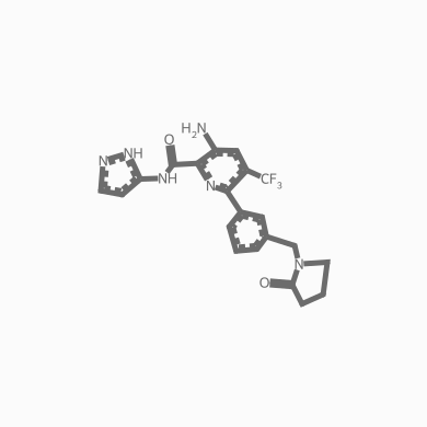 Nc1cc(C(F)(F)F)c(-c2cccc(CN3CCCC3=O)c2)nc1C(=O)Nc1ccn[nH]1